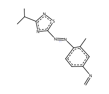 C=Nc1ccc(/N=N/c2nc(C(C)C)ns2)c(C)c1